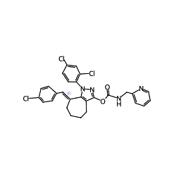 O=C(NCc1ccccn1)Oc1nn(-c2ccc(Cl)cc2Cl)c2c1CCCC/C2=C\c1ccc(Cl)cc1